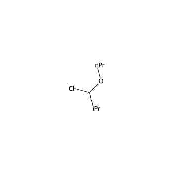 CCCOC(Cl)C(C)C